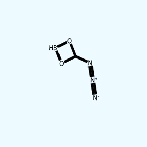 [N-]=[N+]=NC1OBO1